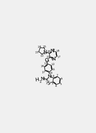 NC1Sc2ccccc2N1c1ccc(Oc2nccnc2N2CCCC2)cc1